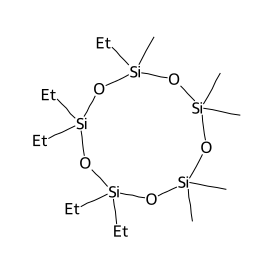 CC[Si]1(C)O[Si](C)(C)O[Si](C)(C)O[Si](CC)(CC)O[Si](CC)(CC)O1